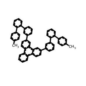 Cc1ccc(-c2ccccc2-c2cccc(-c3ccc4c5ccccc5c5ccc(-c6cccc(-c7ccccc7-c7ccc(C)cc7)c6)cc5c4c3)c2)cc1